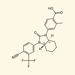 Cc1cc(N2C(=O)N(c3ccc(C#N)c(C(F)(F)F)c3)[C@H]3CCCC[C@@H]32)ccc1C(=O)O